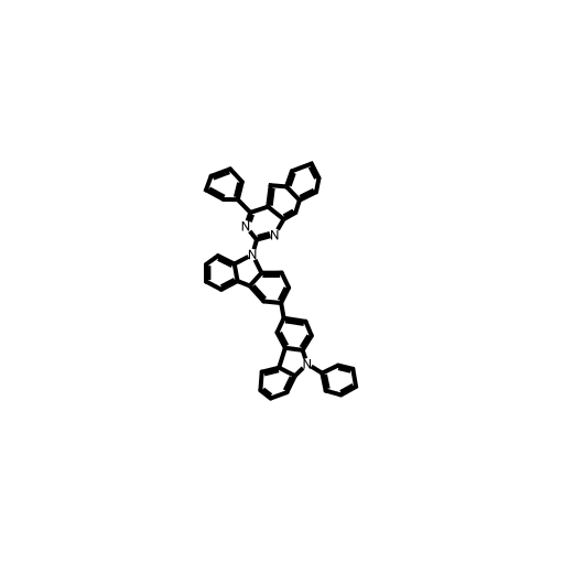 c1ccc(-c2nc(-n3c4ccccc4c4cc(-c5ccc6c(c5)c5ccccc5n6-c5ccccc5)ccc43)nc3cc4ccccc4cc23)cc1